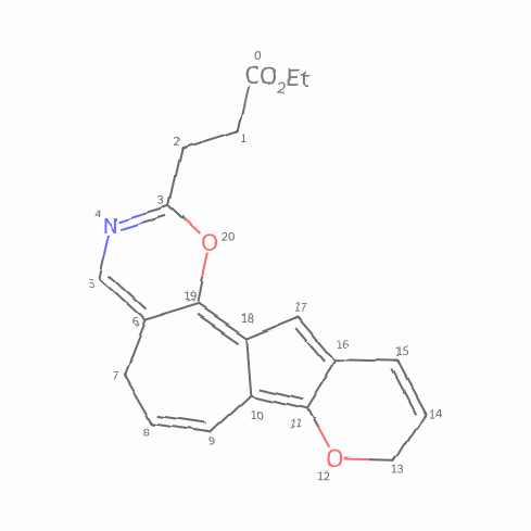 CCOC(=O)CCC1=NC=C2CC=CC3=C4OCC=CC4=CC3=C2O1